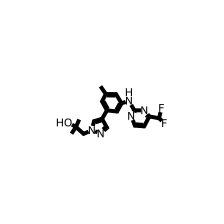 Cc1cc(Nc2nccc(C(F)F)n2)cc(-c2cnn(CC(C)(C)O)c2)c1